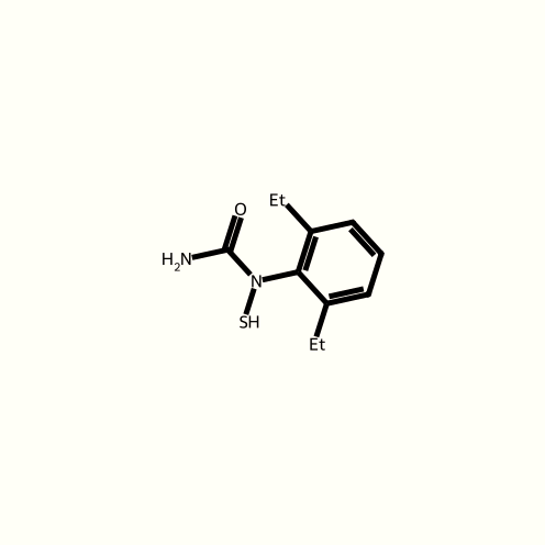 CCc1cccc(CC)c1N(S)C(N)=O